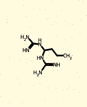 [CH2]CCC(NC(=N)N)NC(=N)N